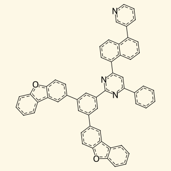 c1ccc(-c2cc(-c3cccc4c(-c5cccnc5)cccc34)nc(-c3cc(-c4ccc5oc6ccccc6c5c4)cc(-c4ccc5oc6ccccc6c5c4)c3)n2)cc1